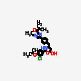 CCn1cc(-c2ccc(CC(CCO)NC(=O)c3ccc(OC(C)C)c(Cl)c3)cc2)nc1C(=O)C(C)C